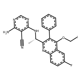 C[C@H](Nc1ncnc(N)c1C#N)c1nc2ccc(F)cc2c(OCI)c1-c1ccccc1